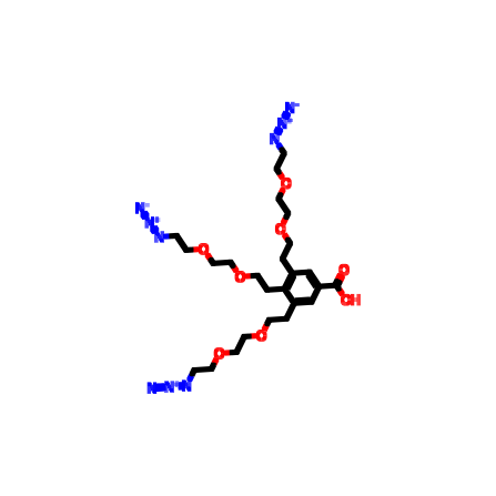 [N-]=[N+]=NCCOCCOCCc1cc(C(=O)O)cc(CCOCCOCCN=[N+]=[N-])c1CCOCCOCCN=[N+]=[N-]